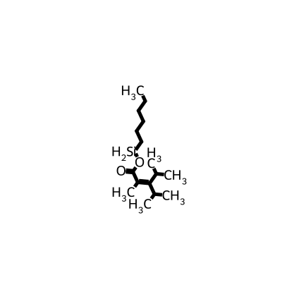 CCCCCC[SiH2]OC(=O)C(C)=C(C(C)C)C(C)C